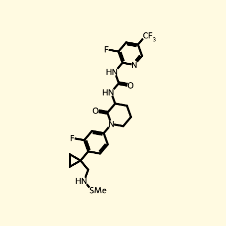 CSNCC1(c2ccc(N3CCCC(NC(=O)Nc4ncc(C(F)(F)F)cc4F)C3=O)cc2F)CC1